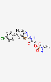 CNS(=O)(=O)OCC(=O)Nc1nc(C)c(CCc2ccc(Cl)cc2)s1